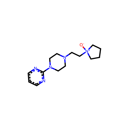 [O-][N+]1(CCN2CCN(c3ncccn3)CC2)CCCC1